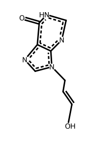 O=c1[nH]cnc2c1ncn2CC=CO